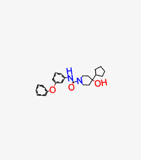 O=C(Nc1cccc(Oc2ccccc2)c1)N1CCC(O)(C2CCCC2)CC1